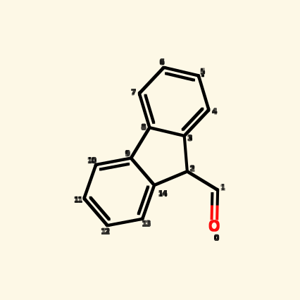 O=CC1c2c[c]ccc2-c2ccccc21